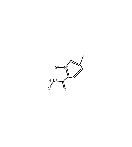 Cc1ccc(C(=O)[NH2+][S-])[n+]([S-])c1